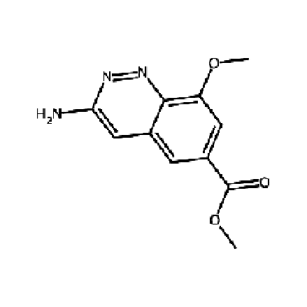 COC(=O)c1cc(OC)c2nnc(N)cc2c1